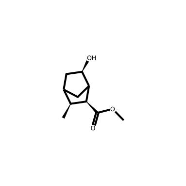 COC(=O)[C@@H]1C2CC(C[C@H]2O)[C@@H]1C